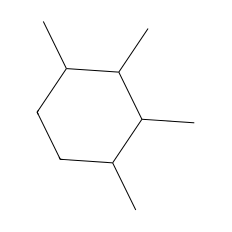 CC1CCC(C)C(C)C1C